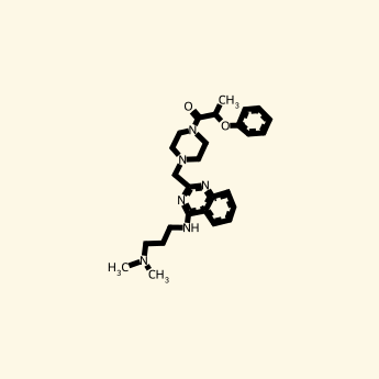 CC(Oc1ccccc1)C(=O)N1CCN(Cc2nc(NCCCN(C)C)c3ccccc3n2)CC1